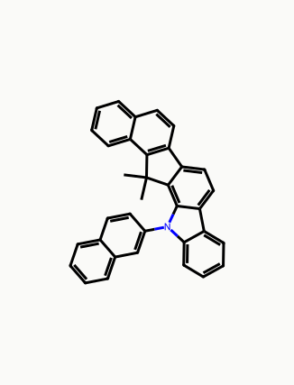 CC1(C)c2c(ccc3ccccc23)-c2ccc3c4ccccc4n(-c4ccc5ccccc5c4)c3c21